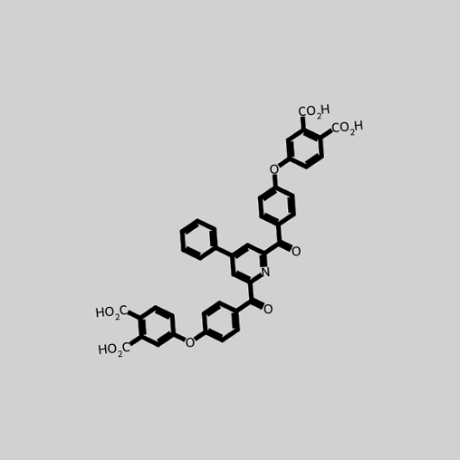 O=C(c1ccc(Oc2ccc(C(=O)O)c(C(=O)O)c2)cc1)c1cc(-c2ccccc2)cc(C(=O)c2ccc(Oc3ccc(C(=O)O)c(C(=O)O)c3)cc2)n1